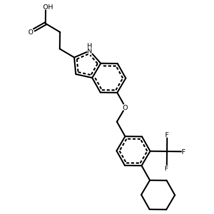 O=C(O)CCc1cc2cc(OCc3ccc(C4CCCCC4)c(C(F)(F)F)c3)ccc2[nH]1